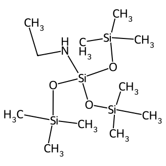 CCN[Si](O[Si](C)(C)C)(O[Si](C)(C)C)O[Si](C)(C)C